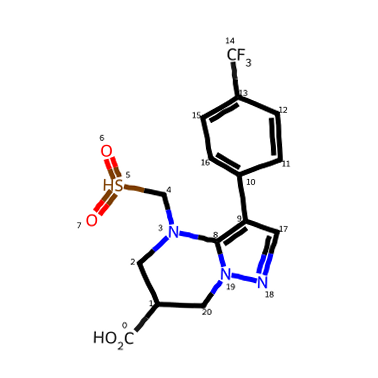 O=C(O)C1CN(C[SH](=O)=O)c2c(-c3ccc(C(F)(F)F)cc3)cnn2C1